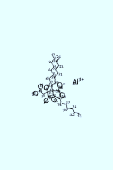 CCCCCCCCOC(CC(=O)[O-])(C(=O)[O-])C(CCCCCCCC)(CCCCCCCC)C(=O)[O-].[Al+3]